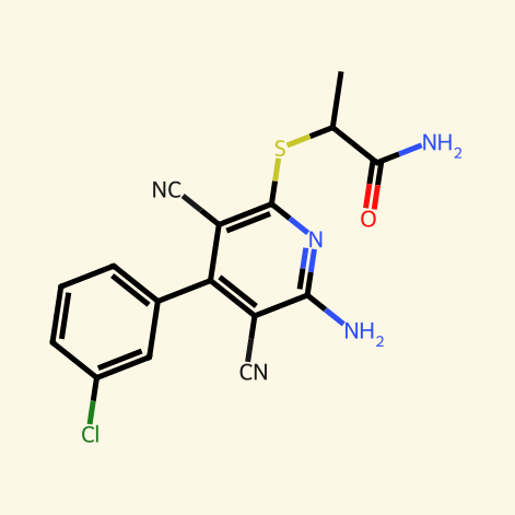 CC(Sc1nc(N)c(C#N)c(-c2cccc(Cl)c2)c1C#N)C(N)=O